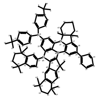 CC(C)(C)c1ccc(N(c2ccc(C(C)(C)C)cc2)c2cc3c4c(c2)N2c5c(cc(-c6ccccc6)cc5C5(C)CCCCC25C)B4C2=C(c4cc5c(cc4C2(C)C)C(C)(C)CCC5(C)C)N3c2ccc3c(c2)C(C)(C)CCC3(C)C)cc1